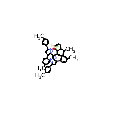 Cc1ccc(C2=CC(c3ccc(C)cc3)=N/C2=C(/c2ccc(C)c3ccccc23)c2c(-c3ccc(C)cc3)cc(-c3ccc(C)cc3)n2B(F)F)cc1